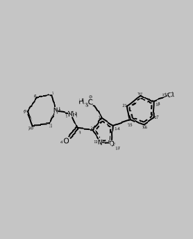 Cc1c(C(=O)NN2CCCCC2)noc1-c1ccc(Cl)cc1